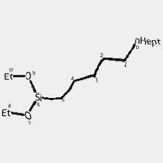 CCCCCCCCCCCC[Si](OCC)OCC